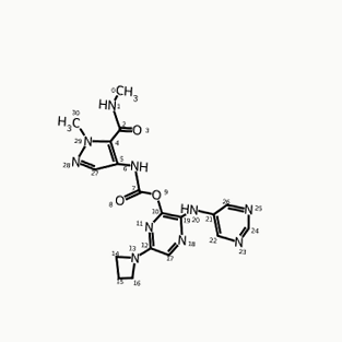 CNC(=O)c1c(NC(=O)Oc2nc(N3CCC3)cnc2Nc2cncnc2)cnn1C